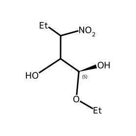 CCO[C@H](O)C(O)C(CC)[N+](=O)[O-]